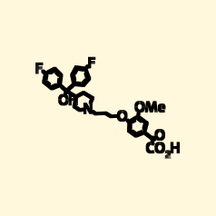 COc1cc(C(=O)C(=O)O)ccc1OCCCN1CCC(C(O)(c2ccc(F)cc2)c2ccc(F)cc2)CC1